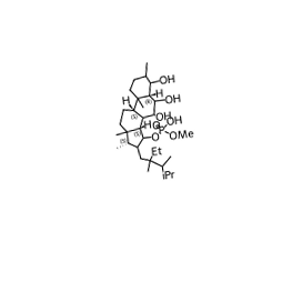 CCC(C)(CC1C(OP(=O)(O)OC)[C@H]2C3C(O)C(O)[C@H]4C(O)C(C)CCC4(C)[C@H]3CCC2(C)[C@H]1C)C(C)C(C)C